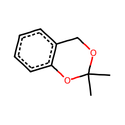 CC1(C)OCc2ccccc2O1